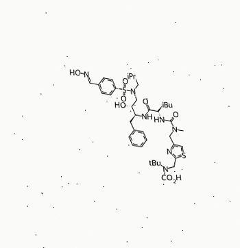 CC[C@H](C)[C@H](NC(=O)N(C)Cc1csc(CN(C(=O)O)C(C)(C)C)n1)C(=O)N[C@@H](Cc1ccccc1)[C@H](O)CN(CC(C)C)S(=O)(=O)c1ccc(C=NO)cc1